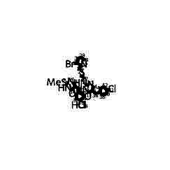 CSc1ncc(Cc2ccc(Cl)cc2)c(=O)[nH]1.Cl.O=c1[nH]c(NCCSCc2ncccc2Br)ncc1Cc1ccc(Cl)cc1